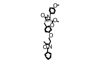 COC(=O)[C@@H]1[C@H](Cc2ccc(OCCc3nc(-c4ccccc4)oc3C)cc2)C(=O)N1c1ccc(OC)cc1